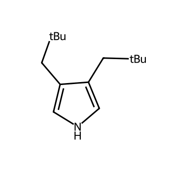 CC(C)(C)Cc1c[nH]cc1CC(C)(C)C